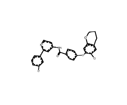 O=C(Nc1ccnc(-c2cccc(Cl)c2)c1)c1ccc(Oc2cc3c(cc2Cl)CCCO3)cc1